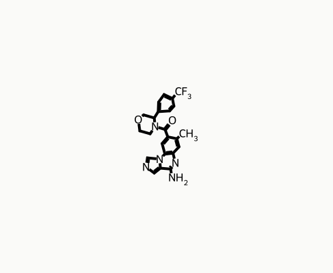 Cc1cc2nc(N)c3cncn3c2cc1C(=O)N1CCOCC1c1ccc(C(F)(F)F)cc1